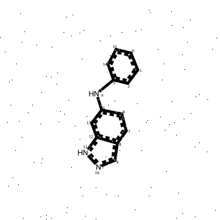 c1ccc(Nc2ccc3cn[nH]c3c2)cc1